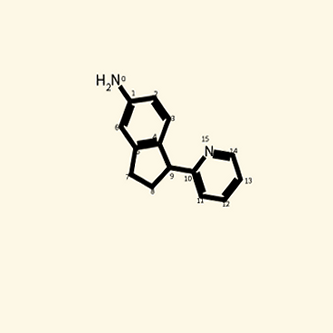 Nc1ccc2c(c1)CCC2c1ccccn1